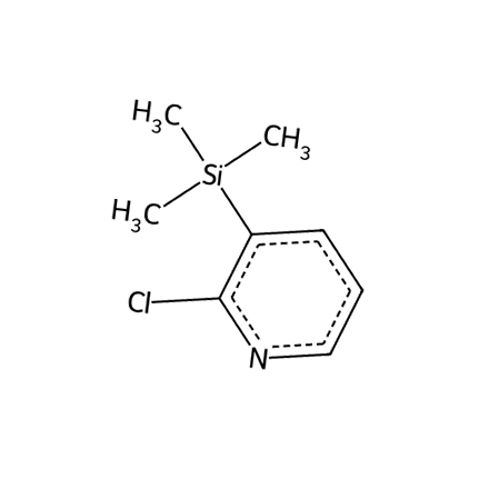 C[Si](C)(C)c1cccnc1Cl